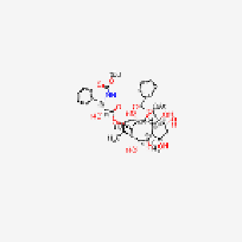 CC(=O)OC[C@]1(O)[C@H](O)C[C@H](O)[C@@]2(C)C(=O)[C@H](O)C3=C(C)[C@@H](OC(=O)[C@H](O)[C@@H](NC(=O)OC(C)(C)C)c4ccccc4)C[C@@](O)([C@@H](OC(=O)c4ccccc4)[C@H]12)C3(C)C